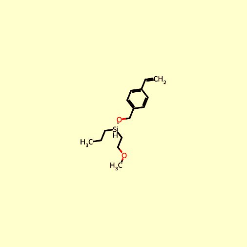 C=Cc1ccc(CO[SiH](CCC)CCOC)cc1